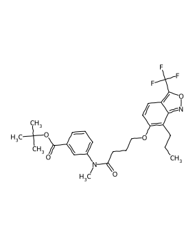 CCCc1c(OCCCC(=O)N(C)c2cccc(C(=O)OC(C)(C)C)c2)ccc2c(C(F)(F)F)onc12